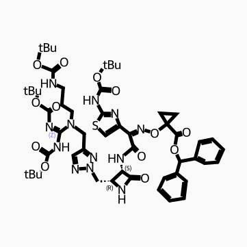 CC(C)(C)OC(=O)/N=C(/NC(=O)OC(C)(C)C)N(CCCNC(=O)OC(C)(C)C)Cc1cnn(C[C@H]2NC(=O)[C@H]2NC(=O)C(=NOC2(C(=O)OC(c3ccccc3)c3ccccc3)CC2)c2csc(NC(=O)OC(C)(C)C)n2)n1